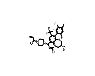 C=CC(=O)N1CCN(c2nc(=O)n3c4c(c(-c5cc(Cl)c(F)cc5F)c(C(F)(F)F)cc24)SC[C@H](OC)C3)CC1